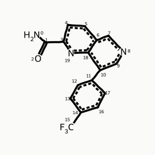 NC(=O)c1ccc2cncc(-c3ccc(C(F)(F)F)cc3)c2n1